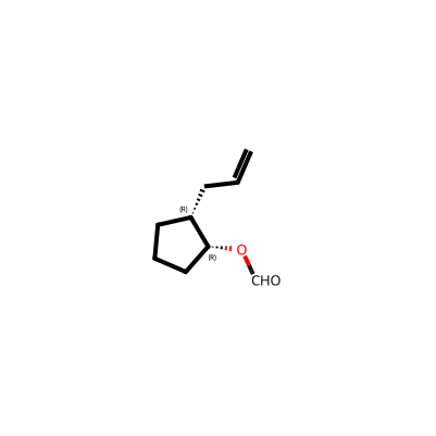 C=CC[C@H]1CCC[C@H]1OC=O